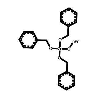 CCC[O][Zr]([O]Cc1ccccc1)([O]Cc1ccccc1)[O]Cc1ccccc1